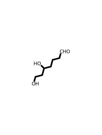 O=CCCCC(O)CCO